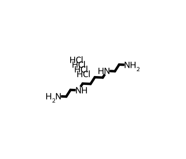 Cl.Cl.Cl.Cl.NCCNCCCCNCCN